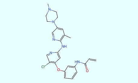 C=CC(=O)Nc1cccc(Oc2cc(Nc3ncc(N4CCN(C)CC4)cc3C)ncc2Cl)c1